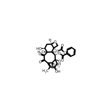 CC(=O)O[C@@]12CO[C@@H]1C[C@H](O)[C@@]1(C)C(=O)C(=O)C3=C(C)C(O)C[C@@](O)([C@@H](OC(=O)c4ccccc4)[C@H]21)C3(C)C